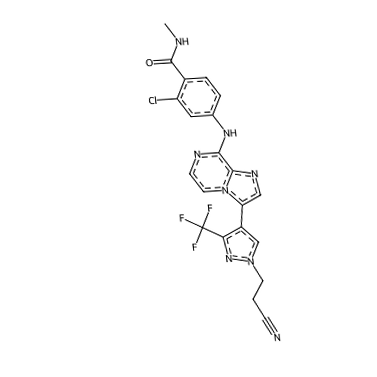 CNC(=O)c1ccc(Nc2nccn3c(-c4cn(CCC#N)nc4C(F)(F)F)cnc23)cc1Cl